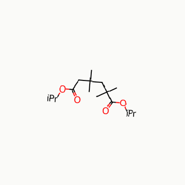 CC(C)OC(=O)CC(C)(C)CC(C)(C)C(=O)OC(C)C